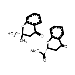 COC(=O)[C@H]1CC(=O)c2ccccc2O1.C[C@]1(C(=O)O)CC(=O)c2ccccc2O1